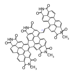 CN1C(=O)c2ccc3c4ccc5c6c(ccc(c7c(/C=C/c8cc9c(=O)[nH]c(=O)c%10cc%11c%12c%13cc%14c(=O)[nH]c(=O)c%15ccc%16c%17ccc%18c(=O)n(C)c(=O)c%19cc(c%12c%12cc%20c(=O)n(C)c(=O)c%21ccc%22c8c(c9%10)c%11c%12c%22c%21%20)c(c%17c%18%19)c%13c%16c%15%14)cc(c2c37)C1=O)c64)C(=O)NC5=O